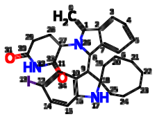 C=C1c2ccccc2C(C2c3cc(I)ccc3NC23CCCCCCC3)N1C1CCC(=O)NC1=O